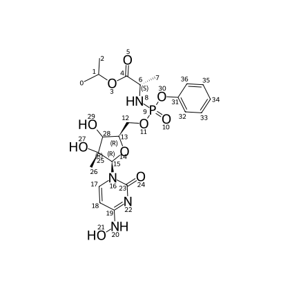 CC(C)OC(=O)[C@H](C)NP(=O)(OC[C@H]1O[C@@H](n2ccc(NO)nc2=O)[C@](C)(O)C1O)Oc1ccccc1